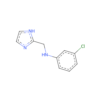 Clc1cccc(NCc2ncc[nH]2)c1